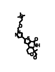 CC1(C=O)OCCc2c1[nH]c(=O)c1sc(-c3cnn(COCC[Si](C)(C)C)c3)cc21